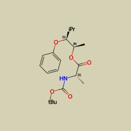 CC(C)[C@H](Oc1ccccc1)[C@@H](C)OC(=O)[C@H](C)NC(=O)OC(C)(C)C